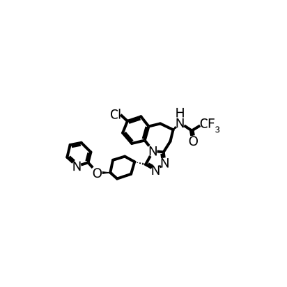 O=C(N[C@@H]1Cc2cc(Cl)ccc2-n2c(nnc2[C@H]2CC[C@H](Oc3ccccn3)CC2)C1)C(F)(F)F